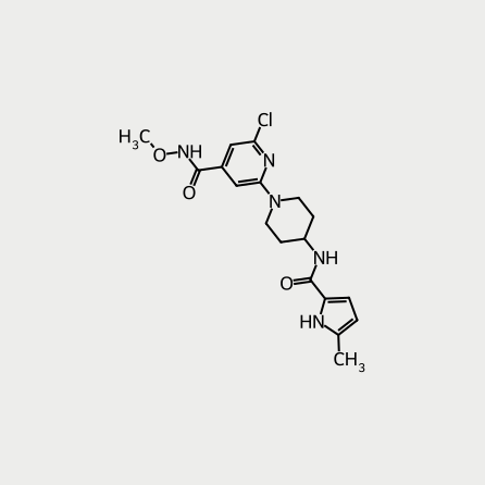 CONC(=O)c1cc(Cl)nc(N2CCC(NC(=O)c3ccc(C)[nH]3)CC2)c1